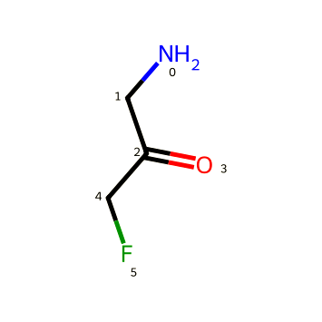 NCC(=O)CF